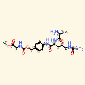 CC(C)OC(=O)CNC(=O)OCc1ccc(NC(=O)[C@H](CCCNC(N)=O)NC(=O)C(N)C(C)C)cc1